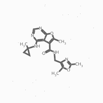 Cc1nc(CNC(=O)c2c(C)oc3ncnc(NC4(C)CC4)c23)c(C)o1